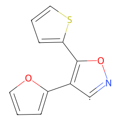 [c]1noc(-c2cccs2)c1-c1ccco1